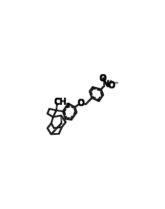 CC1(c2cccc(OCc3ccc([N+](=O)[O-])cc3)c2)CCC12C1CC3CC(C1)CC2C3